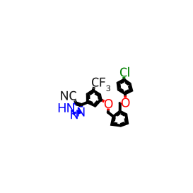 N#Cc1[nH]nnc1-c1cc(OCc2ccccc2COc2ccc(Cl)cc2)cc(C(F)(F)F)c1